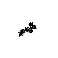 Cc1ccc(-n2nccn2)c(C(=O)N2CCC[C@H]2c2nc(-c3ccc4c(c3)OC(F)(F)O4)no2)c1